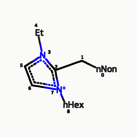 CCCCCCCCCCc1n(CC)cc[n+]1CCCCCC